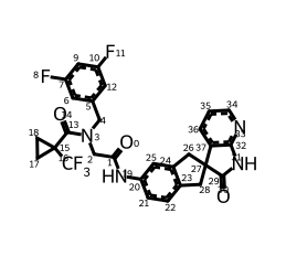 O=C(CN(Cc1cc(F)cc(F)c1)C(=O)C1(C(F)(F)F)CC1)Nc1ccc2c(c1)CC1(C2)C(=O)Nc2ncccc21